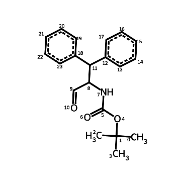 CC(C)(C)OC(=O)NC(C=O)C(c1ccccc1)c1ccccc1